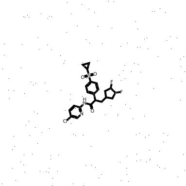 O=C(Nc1ccc(Cl)cn1)C(CC1CC(F)C(F)C1)c1ccc(S(=O)(=O)C2CC2)cc1